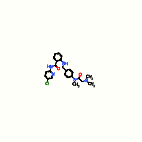 CN(C)CC(=O)N(C)c1ccc(CNc2ccccc2C(=O)Nc2ccc(Cl)cn2)cc1